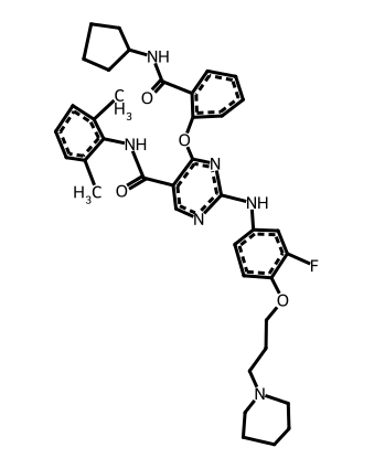 Cc1cccc(C)c1NC(=O)c1cnc(Nc2ccc(OCCCN3CCCCC3)c(F)c2)nc1Oc1ccccc1C(=O)NC1CCCC1